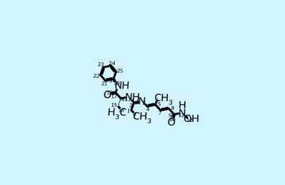 CC\C(=N/C=C(C)/C=C/C(=O)NO)N[C@H](CC)C(=O)Nc1ccccc1